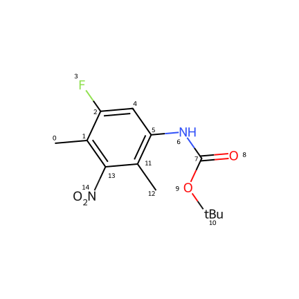 Cc1c(F)cc(NC(=O)OC(C)(C)C)c(C)c1[N+](=O)[O-]